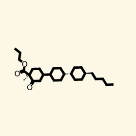 CCCCC[C@H]1CC[C@H](C2CCC(C3CC[C@](C)(C(=O)OCCC)C(=O)C3)CC2)CC1